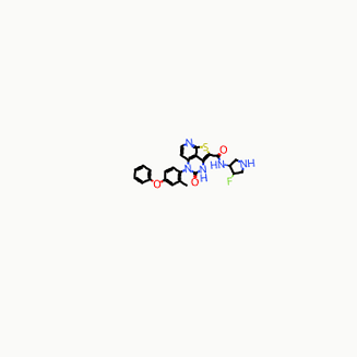 Cc1cc(Oc2ccccc2)ccc1N1C(=O)Nc2c(C(=O)N[C@H]3CNC[C@H]3F)sc3nccc1c23